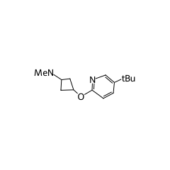 CNC1CC(Oc2ccc(C(C)(C)C)cn2)C1